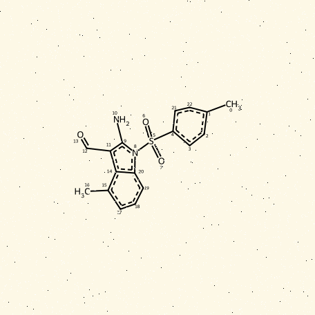 Cc1ccc(S(=O)(=O)n2c(N)c(C=O)c3c(C)cccc32)cc1